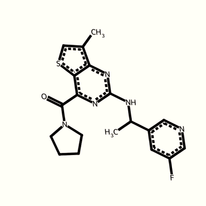 Cc1csc2c(C(=O)N3CCCC3)nc(NC(C)c3cncc(F)c3)nc12